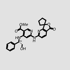 COC(=O)c1cnc(Nc2ccc3c(n2)C2(CCCC2)OC3=O)cc1N[C@H](CO)c1ccccc1